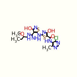 CCC(CNC(=N)c1c(O)nsc1Nc1nc(O)c(C(=O)Nc2c(C)ncnc2Cl)s1)OC